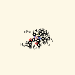 CCCCCc1ccc(Nc2cc3oc4cc5c(cc4c3cc2-c2c3c(cc4c2oc2ccccc24)N(c2ccc4c(c2)C(C)(C)CCC4(C)C)c2c(sc4cc6c(cc24)C(C)(C)CCC6(C)C)B3)C(C)(C)CCC5(C)C)cc1